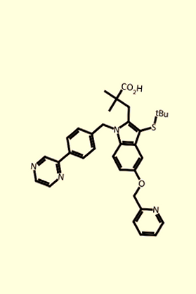 CC(C)(C)Sc1c(CC(C)(C)C(=O)O)n(Cc2ccc(-c3cnccn3)cc2)c2ccc(OCc3ccccn3)cc12